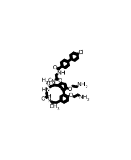 CC1Cc2ccc(OCCN)c(c2)-c2cc(ccc2OCCN)C(N(C)C(=O)CNC(=O)c2ccc(-c3ccc(Cl)cc3)cc2)C(=O)NCC(=O)N1